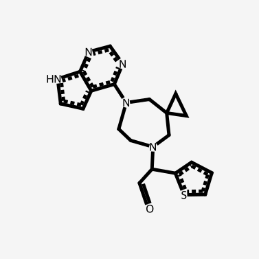 O=CC(c1cccs1)N1CCN(c2ncnc3[nH]ccc23)CC2(CC2)C1